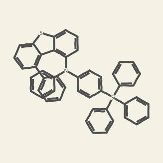 c1ccc(-c2cccc3sc4cccc(N(c5ccccc5)c5ccc([Si](c6ccccc6)(c6ccccc6)c6ccccc6)cc5)c4c23)cc1